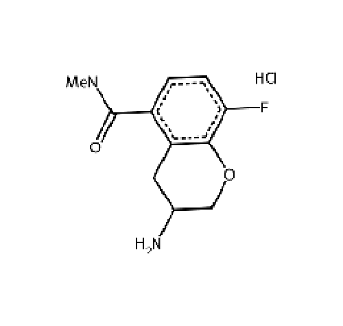 CNC(=O)c1ccc(F)c2c1CC(N)CO2.Cl